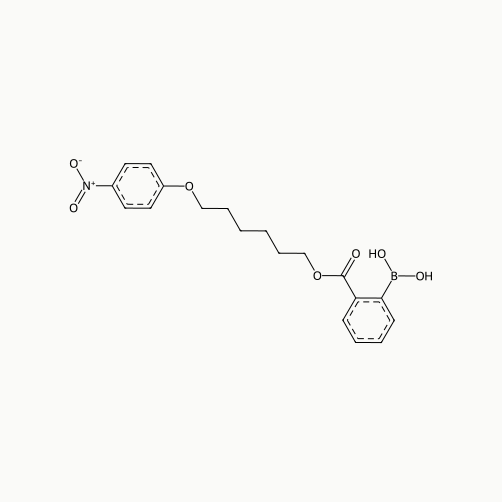 O=C(OCCCCCCOc1ccc([N+](=O)[O-])cc1)c1ccccc1B(O)O